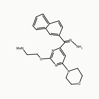 CNCCOc1nc(/C(=N\N)c2ccc3ccccc3c2)cc(N2CCOCC2)n1